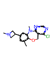 Cc1cc(C2CN(C)C2)cc2c1OCc1c(Cl)ncnc1N2C